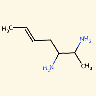 CC=CCC(N)C(C)N